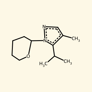 Cc1cnn(C2CCCCO2)c1C(C)C